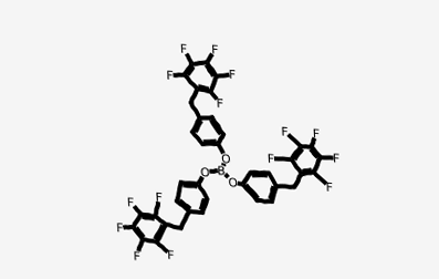 Fc1c(F)c(F)c(Cc2ccc(OB(Oc3ccc(Cc4c(F)c(F)c(F)c(F)c4F)cc3)Oc3ccc(Cc4c(F)c(F)c(F)c(F)c4F)cc3)cc2)c(F)c1F